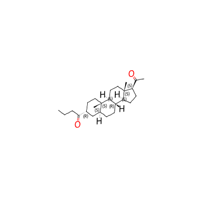 CCCC(=O)[C@@H]1CC[C@@]2(C)[C@@H](CC[C@@H]3[C@@H]2CC[C@]2(C)[C@@H](C(C)=O)CC[C@@H]32)C1